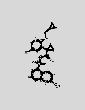 CCc1cnc(OCC2CC2)c(C2(C(=O)NS(=O)(=O)c3cccc4nc(C)ccc34)CC2)c1